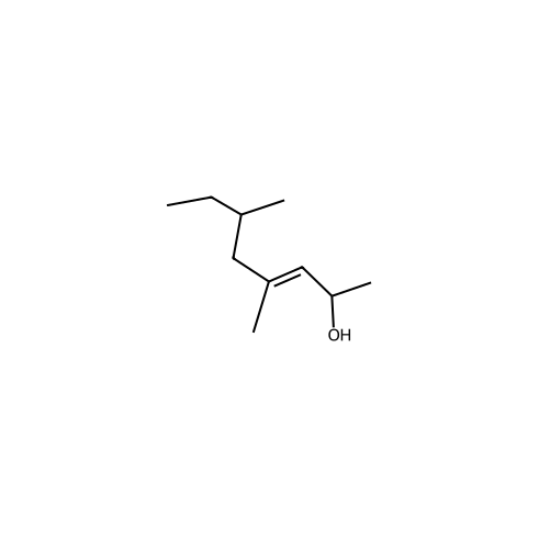 CCC(C)CC(C)=CC(C)O